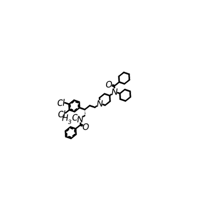 CN(C[C@@H](CCN1CCC(N(C(=O)C2CCCCC2)C2CCCCC2)CC1)c1ccc(Cl)c(Cl)c1)C(=O)c1ccccc1